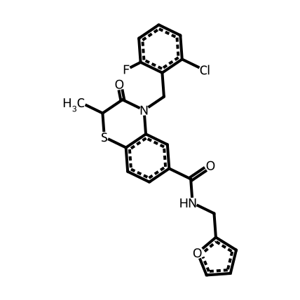 CC1Sc2ccc(C(=O)NCc3ccco3)cc2N(Cc2c(F)cccc2Cl)C1=O